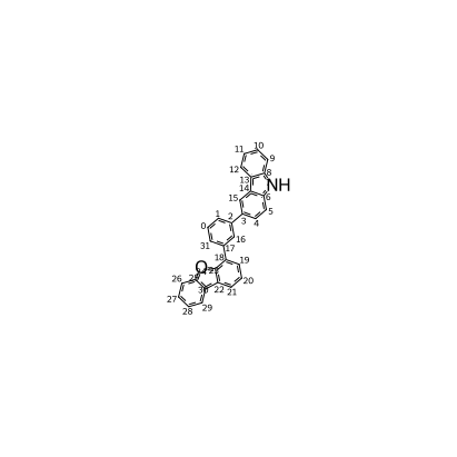 c1cc(-c2ccc3[nH]c4ccccc4c3c2)cc(-c2cccc3c2oc2ccccc23)c1